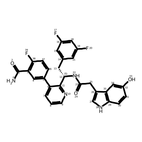 NC(=O)c1cc(-c2cccnc2[C@H](Cc2cc(F)cc(F)c2)NC(=O)Cc2c[nH]c3ccc(O)cc23)ccc1F